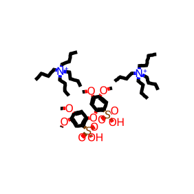 CCCC[N+](CCCC)(CCCC)CCCC.CCCC[N+](CCCC)(CCCC)CCCC.COc1cc(Oc2cc(OC)c(OC)cc2S(=O)(=O)O)c(S(=O)(=O)O)cc1OC